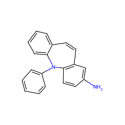 Nc1ccc2c(c1)C=Cc1ccccc1N2c1ccccc1